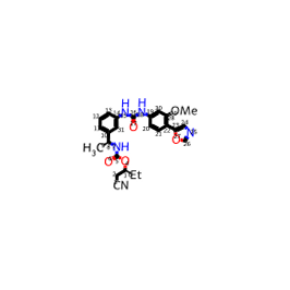 CC[C@@H](CC#N)OC(=O)N[C@@H](C)c1cccc(NC(=O)Nc2ccc(-c3cnco3)c(OC)c2)c1